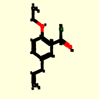 C=CCc1ccc(OCC)c(C(=O)Cl)c1